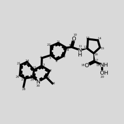 Cc1cc(Cc2ccc(C(=O)N[C@H]3CCC[C@H]3C(=O)NO)cc2)c2cccc(C)c2n1